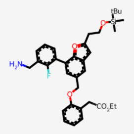 CCOC(=O)Cc1ccccc1OCc1cc(-c2cccc(CN)c2F)c2oc(CCO[Si](C)(C)C(C)(C)C)cc2c1